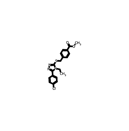 CCn1c(SCc2ccc(C(=O)OC)cc2)nnc1-c1ccc(Cl)cc1